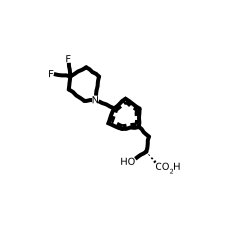 O=C(O)[C@H](O)Cc1ccc(N2CCC(F)(F)CC2)cc1